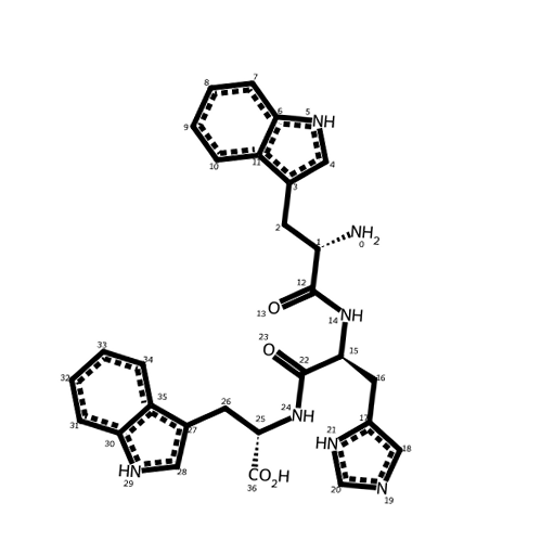 N[C@@H](Cc1c[nH]c2ccccc12)C(=O)N[C@@H](Cc1cnc[nH]1)C(=O)N[C@@H](Cc1c[nH]c2ccccc12)C(=O)O